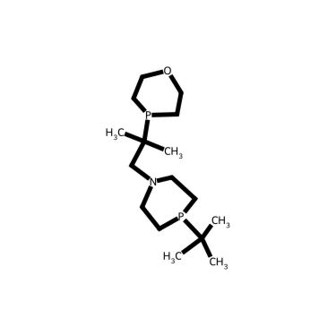 CC(C)(C)P1CCN(CC(C)(C)P2CCOCC2)CC1